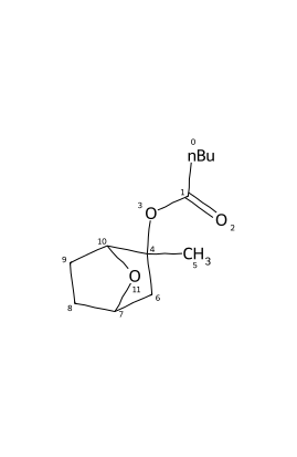 CCCCC(=O)OC1(C)CC2CCC1O2